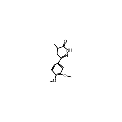 COc1ccc(C2=NNC(=O)C(C)C2)cc1OC